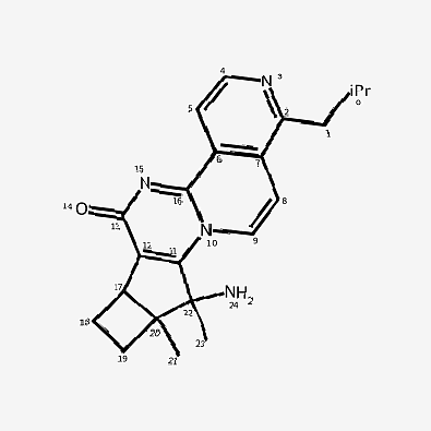 CC(C)Cc1nccc2c1ccn1c3c(c(=O)nc21)C1CCC1(C)C3(C)N